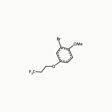 COc1ccc(OCCC(F)(F)F)cc1Br